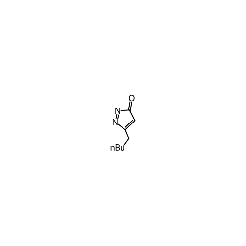 CCCCCC1=CC(=O)N=N1